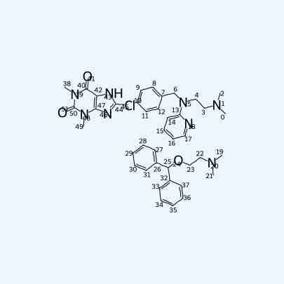 CN(C)CCN(Cc1ccccc1)c1ccccn1.CN(C)CCOC(c1ccccc1)c1ccccc1.Cn1c(=O)c2[nH]c(Cl)nc2n(C)c1=O